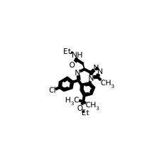 CCNC(=O)C[C@@H]1N=C(c2ccc(Cl)cc2)c2cc(C(C)(C)OCC)ccc2-n2c(C)nnc21